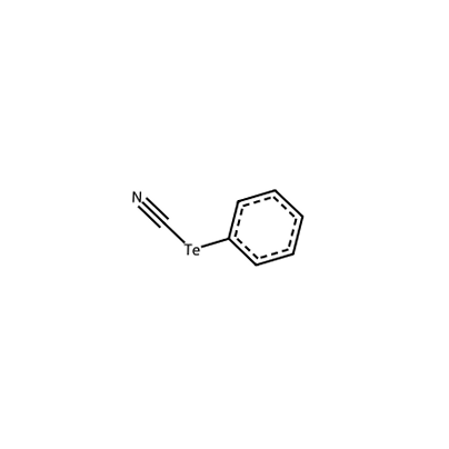 N#C[Te]c1ccccc1